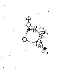 CNc1cn(C[C@@H]2NC(=O)[C@@H](C(C)C)NC(=O)[C@@H](Cc3cccc(C(F)(F)F)c3)NCCOc3ccccc3CCCNC2=O)cn1